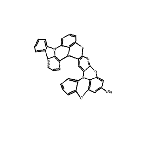 CC(C)(C)c1cc2c3c(c1)Oc1nc4c(cc1B3c1ccccc1O2)B1c2c(cccc2-n2c3ccccc3c3cccc1c32)S4